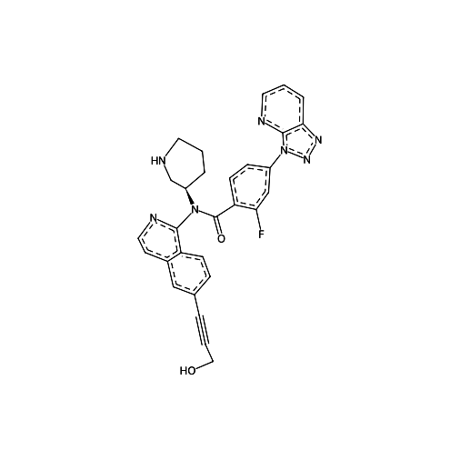 O=C(c1ccc(-n2nnc3cccnc32)cc1F)N(c1nccc2cc(C#CCO)ccc12)[C@@H]1CCCNC1